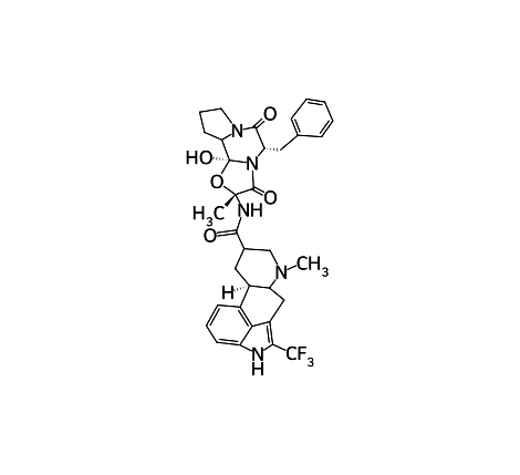 CN1CC(C(=O)N[C@]2(C)O[C@@]3(O)C4CCCN4C(=O)[C@H](Cc4ccccc4)N3C2=O)C[C@@H]2c3cccc4[nH]c(C(F)(F)F)c(c34)CC21